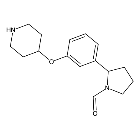 O=CN1CCCC1c1cccc(OC2CCNCC2)c1